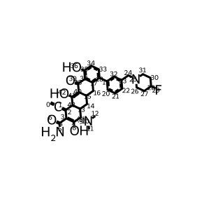 C=C=C1C(C(N)=O)=C(O)[C@@H](N(C)C)C2CC3Cc4c(-c5cccc(CN6CCC(F)CC6)c5)ccc(O)c4C(=O)C3=C(O)C12